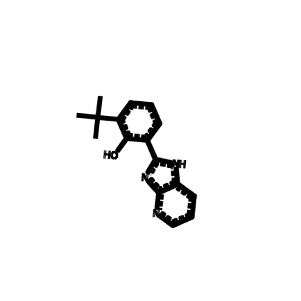 CC(C)(C)c1cccc(-c2nc3ncccc3[nH]2)c1O